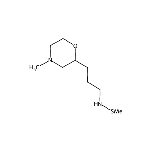 CSNCCCC1CN(C)CCO1